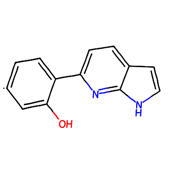 Oc1c[c]ccc1-c1ccc2cc[nH]c2n1